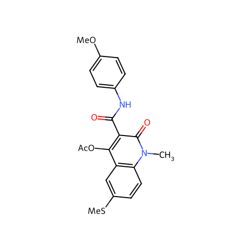 COc1ccc(NC(=O)c2c(OC(C)=O)c3cc(SC)ccc3n(C)c2=O)cc1